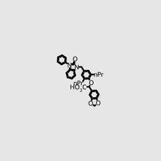 CCCc1cc(Cn2c(=O)n(-c3ccccc3)c3ccccc32)cc(CCC)c1OC(C(=O)O)c1ccc2c(c1)OCO2